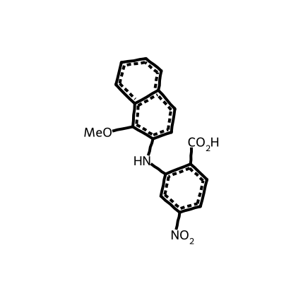 COc1c(Nc2cc([N+](=O)[O-])ccc2C(=O)O)ccc2ccccc12